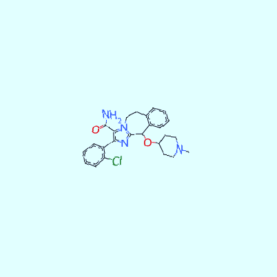 CN1CCC(OC2c3ccccc3CCn3c2nc(-c2ccccc2Cl)c3C(N)=O)CC1